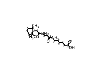 CC1CCCC(C)N1CC(=O)NCCC(=O)NCCCCCC(=O)O